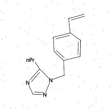 C=Cc1ccc(Cn2ncnc2CCC)cc1